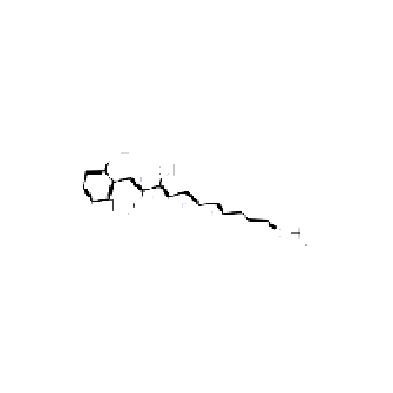 C=CCC/C=C/C=C/C=C(O)/C(C)=C/c1ccccc1C